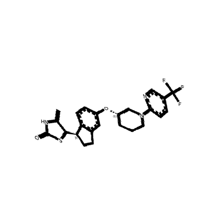 C=C1NC(=O)SC1[C@@H]1CCc2cc(O[C@H]3CCCN(c4ccc(C(F)(F)F)cn4)C3)ccc21